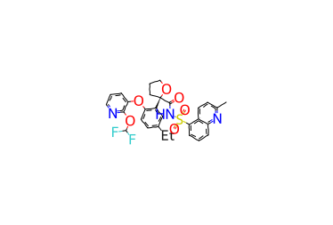 CCc1ccc(Oc2cccnc2OC(F)F)c([C@@]2(C(=O)NS(=O)(=O)c3cccc4nc(C)ccc34)CCCO2)c1